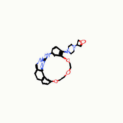 c1cc(N2CCN(C3COC3)CC2)c2cc1Nc1ncc3c(n1)-c1cc(ccc1CC3)OCCOCCO2